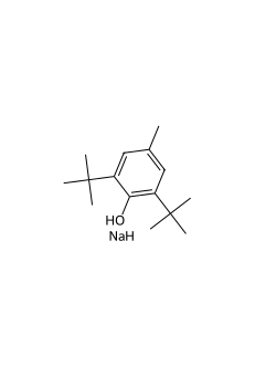 Cc1cc(C(C)(C)C)c(O)c(C(C)(C)C)c1.[NaH]